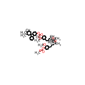 COC(=O)Oc1ccc(CCC[Si](C)(C)O[Si](C)(C)O[Si](C)(C)CCCc2ccc(OC(=O)Oc3ccc(C4(c5ccccc5)CCC(C)(C)C(C)C4)cc3C)c(OC)c2)cc1OC